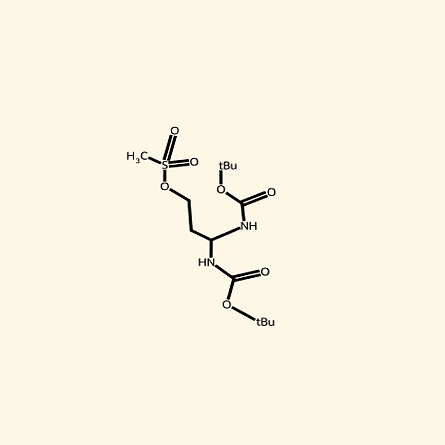 CC(C)(C)OC(=O)NC(CCOS(C)(=O)=O)NC(=O)OC(C)(C)C